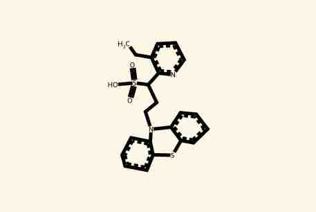 CCc1cccnc1C(CCN1c2ccccc2Sc2ccccc21)S(=O)(=O)O